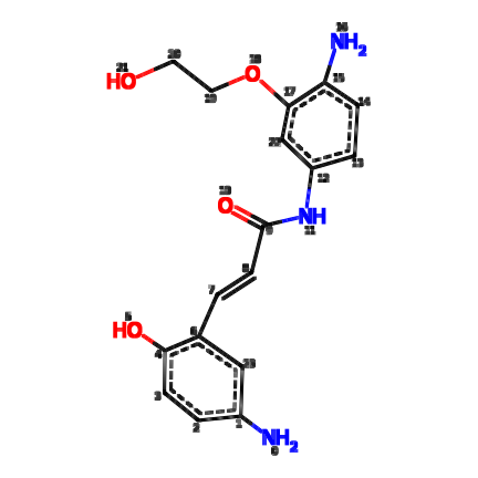 Nc1ccc(O)c(C=CC(=O)Nc2ccc(N)c(OCCO)c2)c1